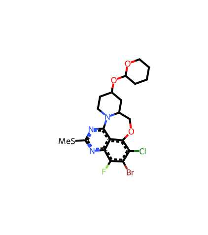 CSc1nc2c3c(c(Cl)c(Br)c(F)c3n1)OCC1CC(OC3CCCCO3)CCN21